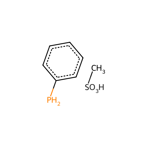 CS(=O)(=O)O.Pc1ccccc1